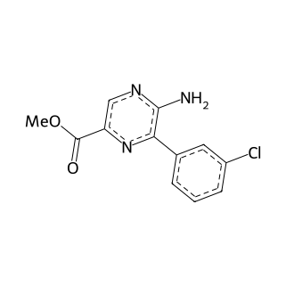 COC(=O)c1cnc(N)c(-c2cccc(Cl)c2)n1